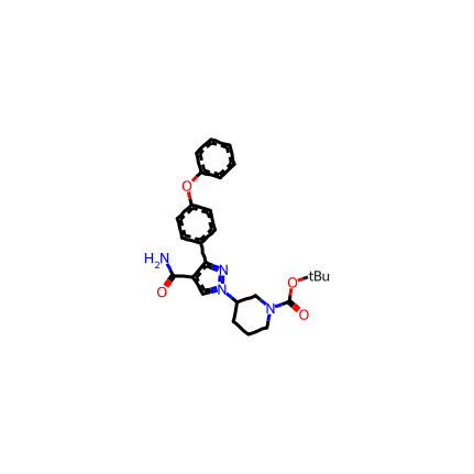 CC(C)(C)OC(=O)N1CCCC(n2cc(C(N)=O)c(-c3ccc(Oc4ccccc4)cc3)n2)C1